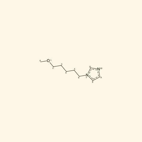 COCCCCCn1ccnc1